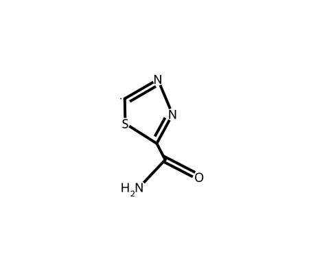 NC(=O)c1nn[c]s1